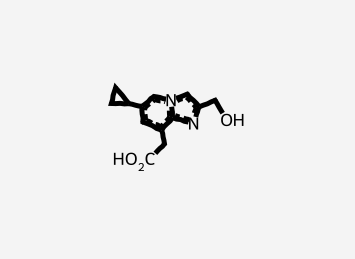 O=C(O)Cc1cc(C2CC2)cn2cc(CO)nc12